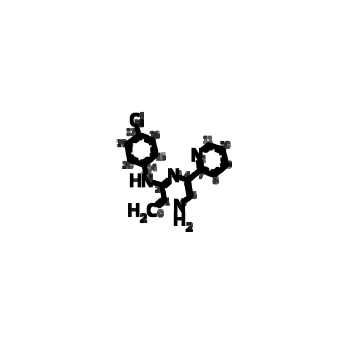 C=C/C(=N\C(=C/N)c1ccccn1)Nc1ccc(Cl)cc1